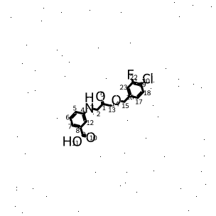 O=C(CNc1cccc(C(=O)O)c1)COCc1ccc(Cl)c(F)c1